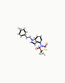 C=C1SC(=O)N(c2cccc3c2ccn3CCc2ccc(F)cc2)C1=O